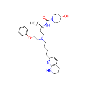 O=C(O)[C@H](CCN(CCCCc1ccc2c(n1)NCCC2)CCOc1ccccc1)NC(=O)N1CCC(O)CC1